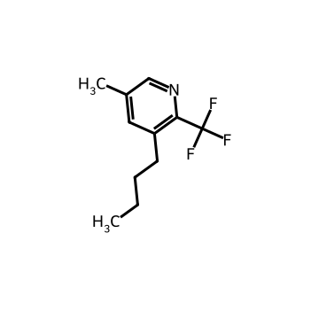 CCCCc1cc(C)cnc1C(F)(F)F